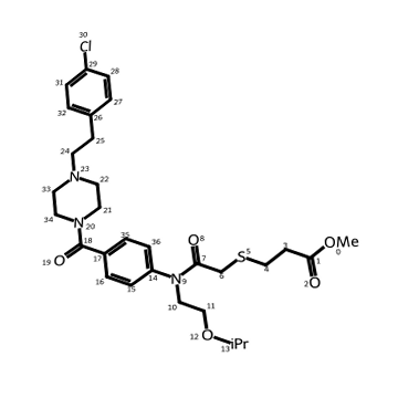 COC(=O)CCSCC(=O)N(CCOC(C)C)c1ccc(C(=O)N2CCN(CCc3ccc(Cl)cc3)CC2)cc1